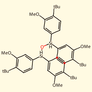 COc1cc([SiH](O[SiH](c2ccc(C(C)(C)C)c(OC)c2)c2ccc(C(C)(C)C)c(OC)c2)c2ccc(C(C)(C)C)c(OC)c2)ccc1C(C)(C)C